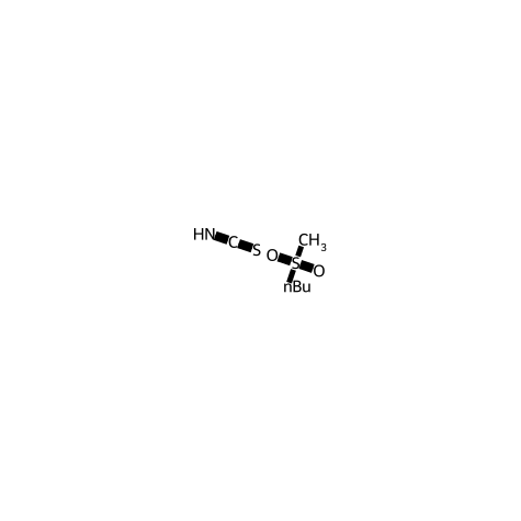 CCCCS(C)(=O)=O.N=C=S